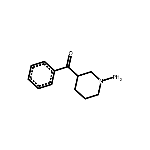 O=C(c1ccccc1)C1CCCN(P)C1